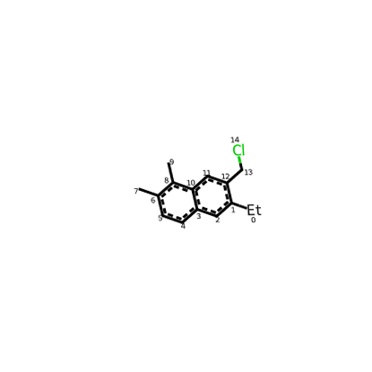 CCc1cc2ccc(C)c(C)c2cc1CCl